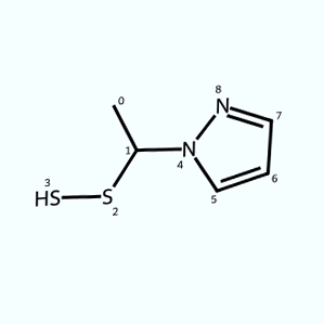 CC(SS)n1cccn1